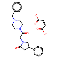 O=C(CN1CC(c2ccccc2)CC1=O)N1CCN(Cc2ccccc2)CC1.O=C(O)/C=C\C(=O)O